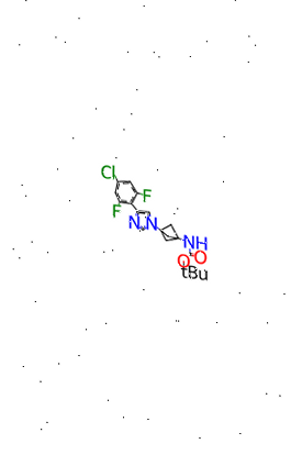 CC(C)(C)OC(=O)NC12CC(n3cnc(-c4c(F)cc(Cl)cc4F)c3)(C1)C2